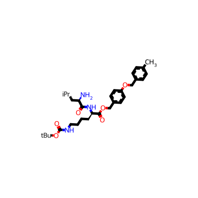 Cc1ccc(COc2ccc(COC(=O)[C@@H](CCCCNC(=O)OC(C)(C)C)NC(=O)[C@H](N)CC(C)C)cc2)cc1